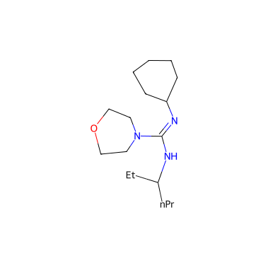 CCCC(CC)NC(=NC1CCCCC1)N1CCOCC1